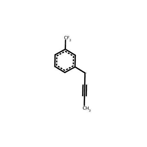 CC#C[CH]c1cccc(C(F)(F)F)c1